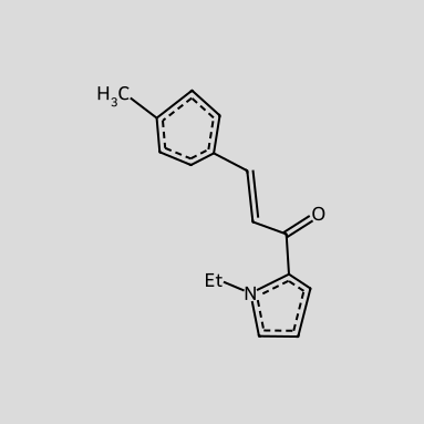 CCn1cccc1C(=O)/C=C/c1ccc(C)cc1